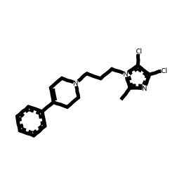 Cc1nc(Cl)c(Cl)n1CCCN1CC=C(c2ccccc2)CC1